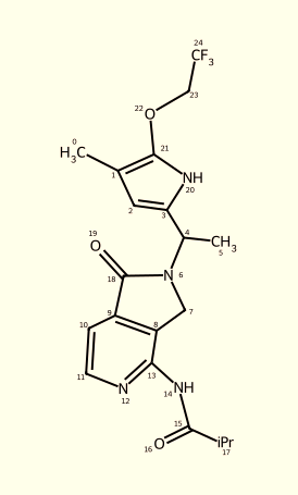 Cc1cc(C(C)N2Cc3c(ccnc3NC(=O)C(C)C)C2=O)[nH]c1OCC(F)(F)F